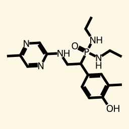 CCNP(=O)(NCC)C(CNc1cnc(C)cn1)c1ccc(O)c(C)c1